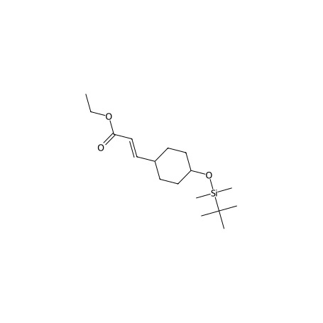 CCOC(=O)C=CC1CCC(O[Si](C)(C)C(C)(C)C)CC1